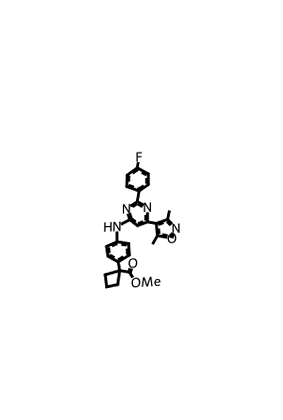 COC(=O)C1(c2ccc(Nc3cc(-c4c(C)noc4C)nc(-c4ccc(F)cc4)n3)cc2)CCC1